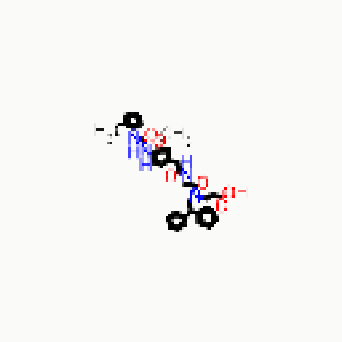 COc1cc(CC(=O)NCC(=O)N(CCC(=O)O)CC(c2ccccc2)c2ccccc2)ccc1NC(=O)Nc1ccccc1C